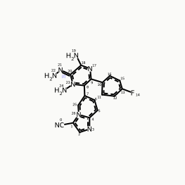 N#Cc1cnc2ccc(-c3c(-c4ccc(F)cc4)nc(N)/c(=N/N)n3N)cn12